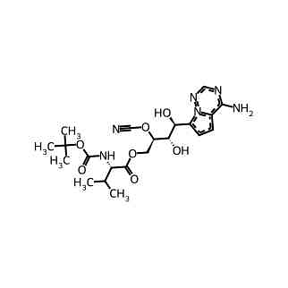 CC(C)[C@H](NC(=O)OC(C)(C)C)C(=O)OC[C@@H](OC#N)[C@@H](O)[C@@H](O)c1ccc2c(N)ncnn12